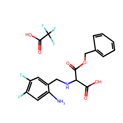 Nc1cc(F)c(F)cc1CNC(C(=O)O)C(=O)OCc1ccccc1.O=C(O)C(F)(F)F